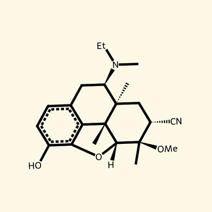 CCN(C)[C@@H]1Cc2ccc(O)c3c2[C@@]2(C)[C@@H](O3)[C@](C)(OC)[C@@H](C#N)C[C@]12C